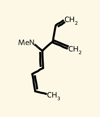 C=CC(=C)/C(=C/C=C\C)NC